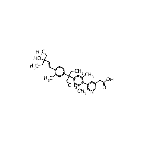 CCC(O)(C=Cc1ccc(C(CC)(CC)c2cc(C)c(-c3cncc(CC(=O)O)c3)c(C)c2)cc1C)CC